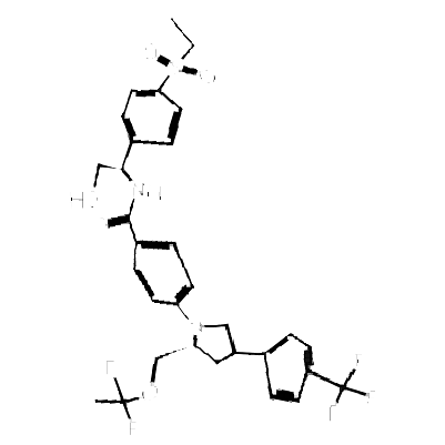 CCS(=O)(=O)c1ccc([C@H](CO)NC(=O)c2ccc(N3CC(c4ccc(C(F)(F)F)cc4)C[C@H]3COC(C)(F)F)cc2)cc1